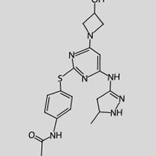 CCC(=O)Nc1ccc(Sc2nc(NC3=NNC(C)C3)cc(N3CC(O)C3)n2)cc1